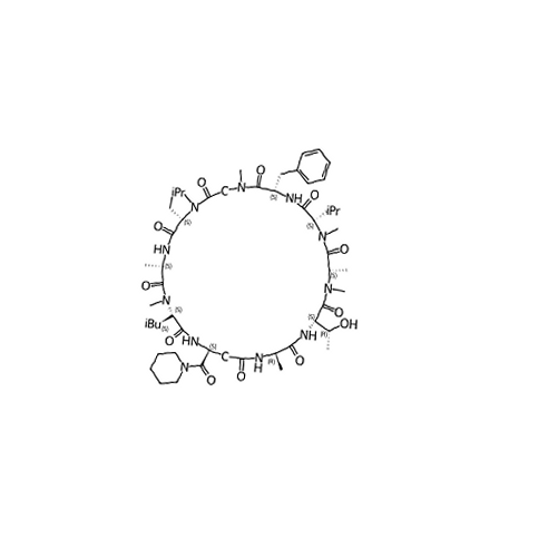 CC[C@H](C)[C@H]1C(=O)N[C@H](C(=O)N2CCCCC2)CC(=O)N[C@H](C)C(=O)N[C@@H]([C@@H](C)O)C(=O)N(C)[C@@H](C)C(=O)N(C)[C@@H](C(C)C)C(=O)N[C@@H](Cc2ccccc2)C(=O)N(C)CC(=O)N(C)[C@@H](CC(C)C)C(=O)N[C@@H](C)C(=O)N1C